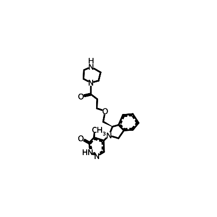 Cc1c(N2Cc3ccccc3[C@@H]2COCCC(=O)N2CCNCC2)cn[nH]c1=O